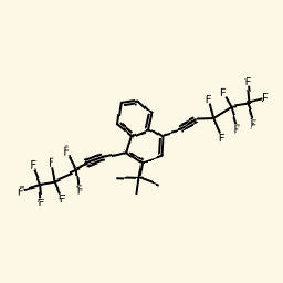 CC(C)(C)c1cc(C#CC(F)(F)C(F)(F)C(F)(F)F)c2ccccc2c1C#CC(F)(F)C(F)(F)C(F)(F)F